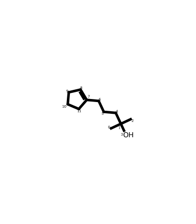 CC(C)(O)CCCC1=CCCC1